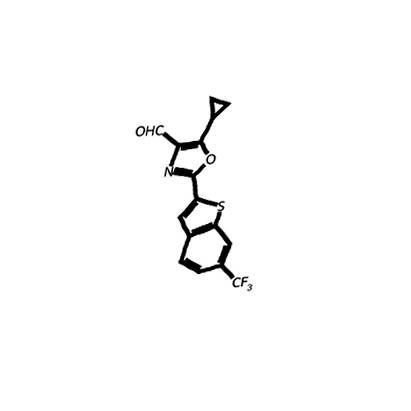 O=Cc1nc(-c2cc3ccc(C(F)(F)F)cc3s2)oc1C1CC1